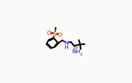 CC(C)(C)[C@H](N)CNCc1ccccc1S(C)(=O)=O